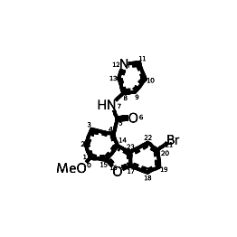 COc1ccc(C(=O)Nc2cccnc2)c2c1oc1ccc(Br)cc12